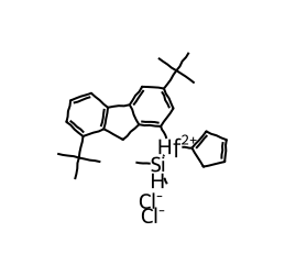 C[SiH](C)[Hf+2]([C]1=CC=CC1)[c]1cc(C(C)(C)C)cc2c1Cc1c-2cccc1C(C)(C)C.[Cl-].[Cl-]